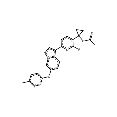 CC(=O)OC1(c2ccc(-c3cnn4cc(Oc5ccc(C)nn5)ccc34)nc2F)CC1